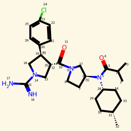 CC(C)C(=O)N([C@H]1CCN(C(=O)[C@@H]2CN(C(=N)N)C[C@H]2c2ccc(Cl)cc2)C1)[C@H]1CC[C@@H](C)CC1